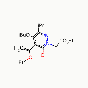 C=C(OCC)c1c(OCC(C)C)c(C(C)C)nn(CC(=O)OCC)c1=O